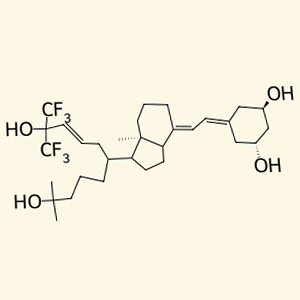 CC(C)(O)CCCC(C/C=C/C(O)(C(F)(F)F)C(F)(F)F)C1CCC2/C(=C/C=C3C[C@@H](O)C[C@H](O)C3)CCC[C@@]21C